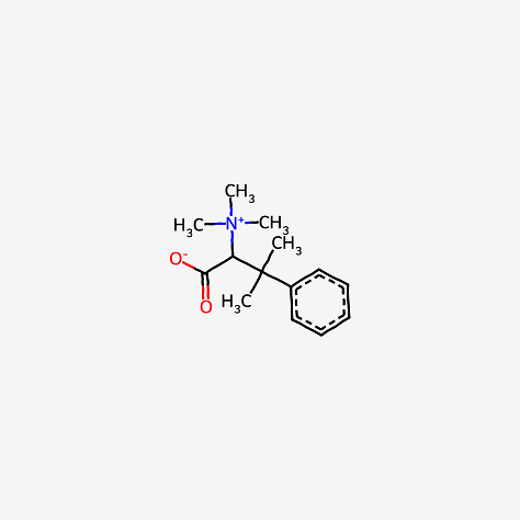 CC(C)(c1ccccc1)C(C(=O)[O-])[N+](C)(C)C